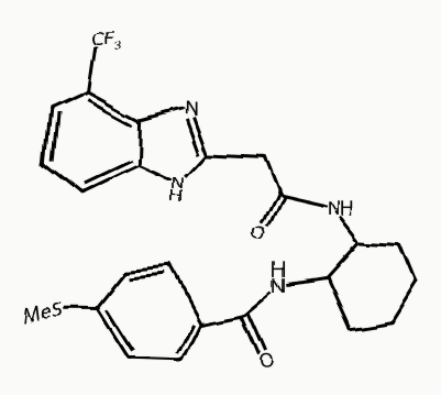 CSc1ccc(C(=O)NC2CCCCC2NC(=O)Cc2nc3c(C(F)(F)F)cccc3[nH]2)cc1